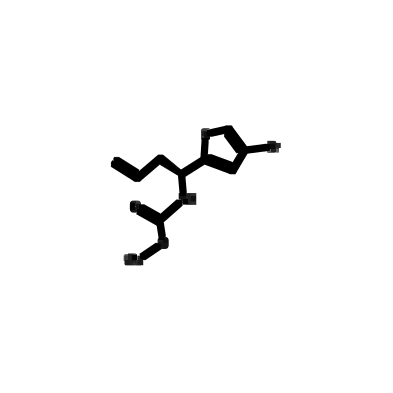 C=CC[C@H](NC(=O)OC(C)(C)C)c1cc(Br)cs1